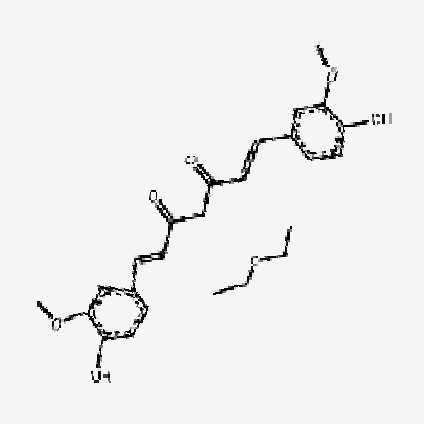 CCOCC.COc1cc(/C=C/C(=O)CC(=O)/C=C/c2ccc(O)c(OC)c2)ccc1O